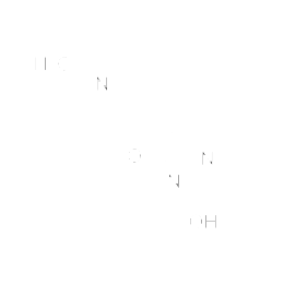 Cc1ccc(Cc2cc3c(=O)n(C4CCCCC4O)cnc3c3ccccc23)cn1